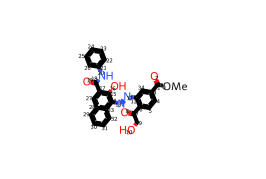 COC(=O)c1ccc(C(=O)CO)c(/N=N/c2c(O)c(C(=O)Nc3ccccc3)cc3ccccc23)c1